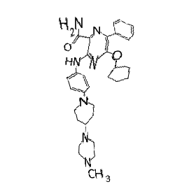 CN1CCN(C2CCN(c3ccc(Nc4nc(OC5CCCC5)c(-c5ccccc5)nc4C(N)=O)cc3)CC2)CC1